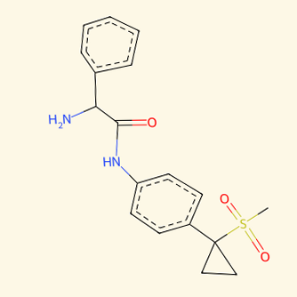 CS(=O)(=O)C1(c2ccc(NC(=O)C(N)c3ccccc3)cc2)CC1